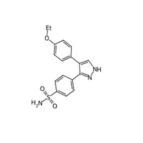 CCOc1ccc(-c2c[nH]nc2-c2ccc(S(N)(=O)=O)cc2)cc1